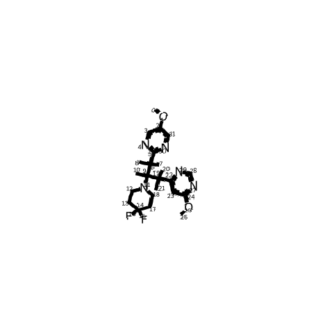 COc1cnc(C(C)(C)C(C)(N2CCC(F)(F)CC2)C(C)(C)c2cc(OC)ncn2)nc1